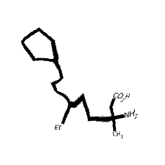 CCC(CCC1CCCC1)CCC(C)(N)C(=O)O